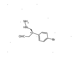 NNC[C@H](CC=O)c1ccc(Br)cc1